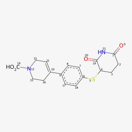 O=C1CCC(Sc2ccc(C3=CCN(C(=O)O)CC3)cc2)C(=O)N1